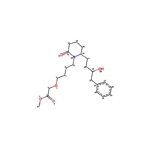 COC(=O)COCCCCN1C(=O)CCCC1CCC(O)Cc1ccccc1